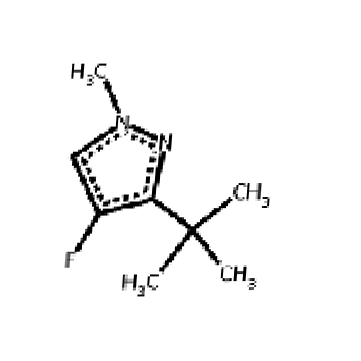 Cn1cc(F)c(C(C)(C)C)n1